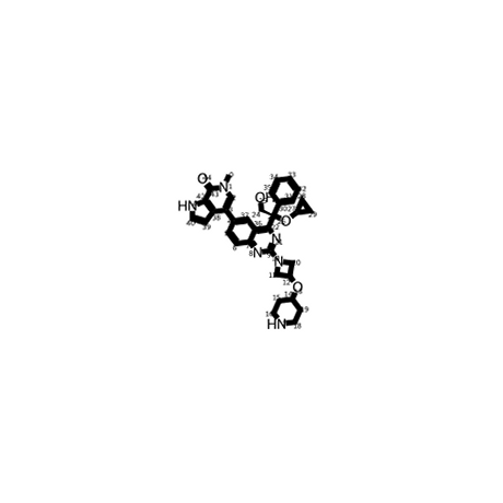 Cn1cc(-c2ccc3nc(N4CC(OC5CCNCC5)C4)nc([C@@](CO)(OC4CC4)c4ccccc4)c3c2)c2cc[nH]c2c1=O